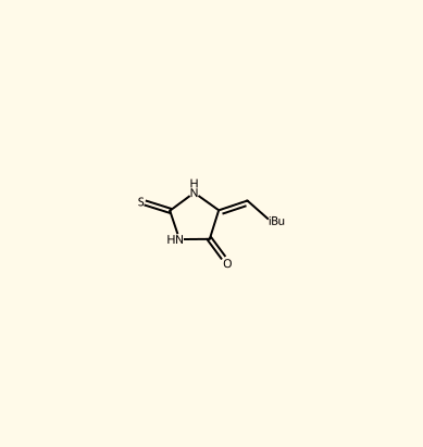 CCC(C)C=C1NC(=S)NC1=O